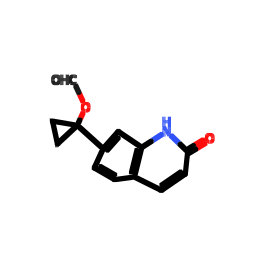 O=COC1(c2ccc3ccc(=O)[nH]c3c2)CC1